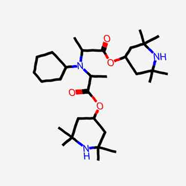 CC(C(=O)OC1CC(C)(C)NC(C)(C)C1)N(C1CCCCC1)C(C)C(=O)OC1CC(C)(C)NC(C)(C)C1